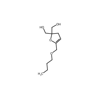 CCCCOCC1=CCC(CO)(CO)O1